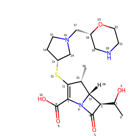 CC(O)[C@H]1C(=O)N2C(C(=O)O)=C(S[C@@H]3CCN(C[C@H]4CNCCO4)C3)[C@H](C)[C@H]12